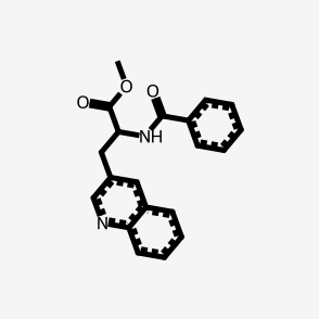 COC(=O)C(Cc1cnc2ccccc2c1)NC(=O)c1ccccc1